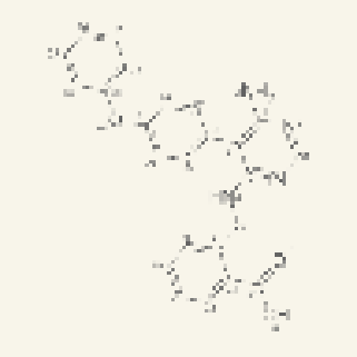 Nc1ncnc(NCc2ccccc2C(=O)O)c1-c1ccc(Oc2ccccc2)cc1